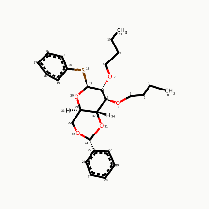 CCCCO[C@@H]1[C@@H](OCCCC)[C@H](Sc2ccccc2)O[C@@H]2CO[C@@H](c3ccccc3)O[C@@H]12